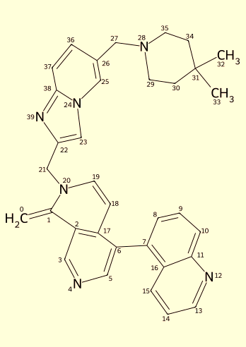 C=C1c2cncc(-c3cccc4ncccc34)c2C=CN1Cc1cn2cc(CN3CCC(C)(C)CC3)ccc2n1